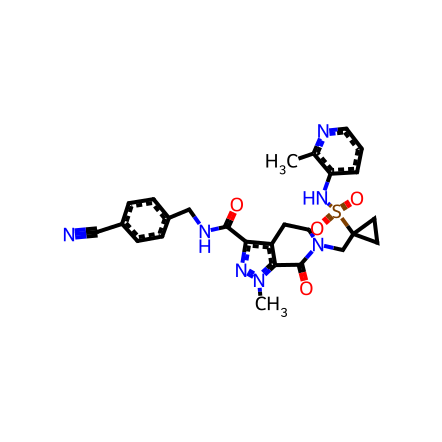 Cc1ncccc1NS(=O)(=O)C1(CN2CCc3c(C(=O)NCc4ccc(C#N)cc4)nn(C)c3C2=O)CC1